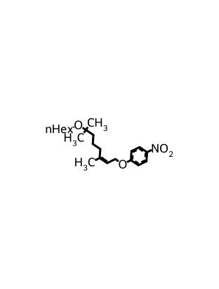 CCCCCCOC(C)(C)CCCC(C)=CCOc1ccc([N+](=O)[O-])cc1